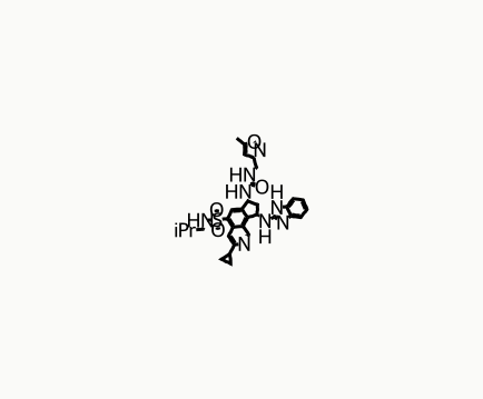 Cc1cc(CNC(=O)N[C@@H]2C[C@@H](Nc3nc4ccccc4[nH]3)c3c2cc(S(=O)(=O)NCC(C)C)c2cc(C4CC4)ncc32)no1